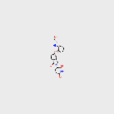 O=C1CCC(N2Cc3cc(O[C@@H]4CCCC[C@@H]4NCCO)ccc3C2=O)C(=O)N1